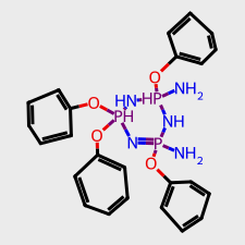 NP1(Oc2ccccc2)=N[PH](Oc2ccccc2)(Oc2ccccc2)N[PH](N)(Oc2ccccc2)N1